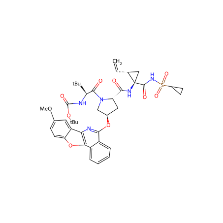 C=C[C@@H]1C[C@]1(NC(=O)[C@@H]1C[C@@H](Oc2nc3c4cc(OC)ccc4oc3c3ccccc23)CN1C(=O)[C@@H](NC(=O)OC(C)(C)C)C(C)(C)C)C(=O)NS(=O)(=O)C1CC1